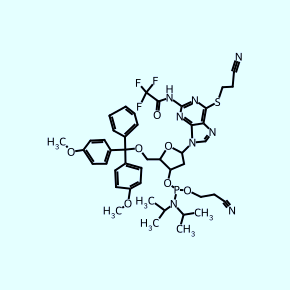 COc1ccc(C(OCC2OC(n3cnc4c(SCCC#N)nc(NC(=O)C(F)(F)F)nc43)CC2OP(OCCC#N)N(C(C)C)C(C)C)(c2ccccc2)c2ccc(OC)cc2)cc1